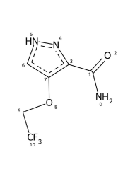 NC(=O)c1n[nH]cc1OCC(F)(F)F